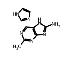 Cc1ncc2[nH]c(N)nc2n1.c1c[nH]cn1